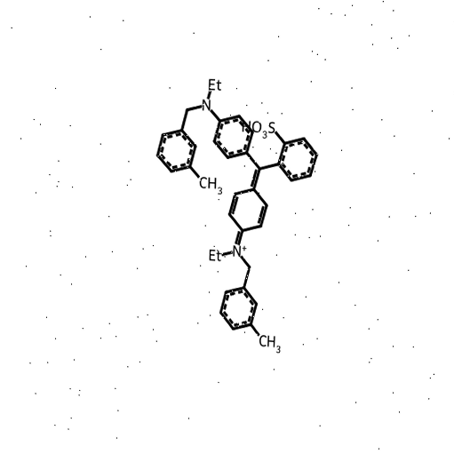 CCN(Cc1cccc(C)c1)c1ccc(C(=C2C=CC(=[N+](CC)Cc3cccc(C)c3)C=C2)c2ccccc2S(=O)(=O)O)cc1